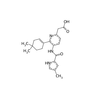 Cc1c[nH]c(C(=O)Nc2ccc(CC(=O)O)nc2C2=CCC(C)(C)CC2)c1